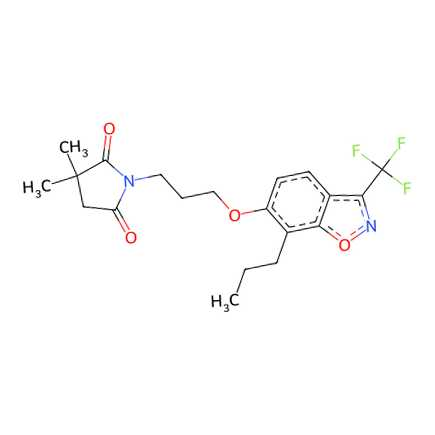 CCCc1c(OCCCN2C(=O)CC(C)(C)C2=O)ccc2c(C(F)(F)F)noc12